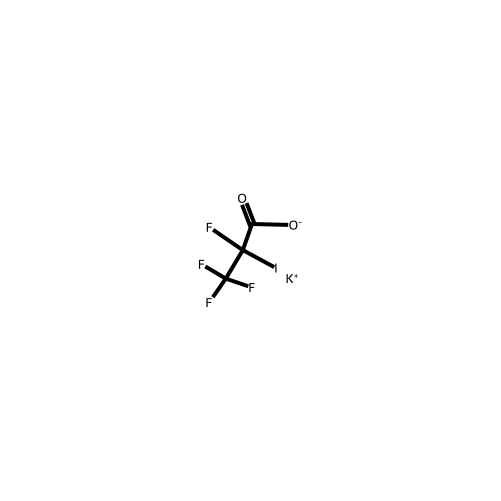 O=C([O-])C(F)(I)C(F)(F)F.[K+]